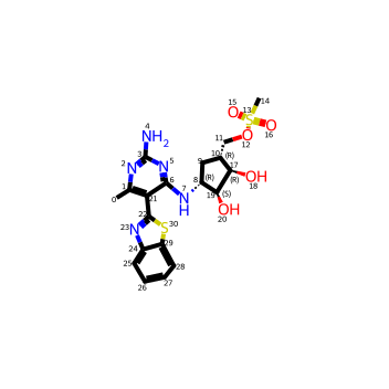 Cc1nc(N)nc(N[C@@H]2C[C@H](COS(C)(=O)=O)[C@@H](O)[C@H]2O)c1-c1nc2ccccc2s1